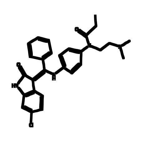 CCC(=O)N(CCN(C)C)c1ccc(NC(=C2C(=O)Nc3cc(Cl)ccc32)c2ccccc2)cc1